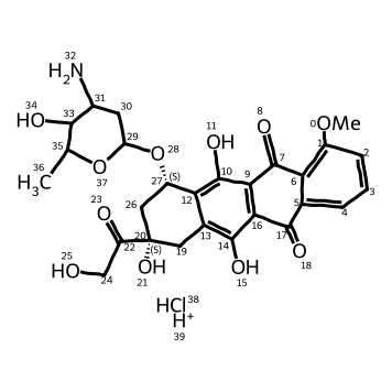 COc1cccc2c1C(=O)c1c(O)c3c(c(O)c1C2=O)C[C@@](O)(C(=O)CO)C[C@@H]3OC1CC(N)C(O)C(C)O1.Cl.[H+]